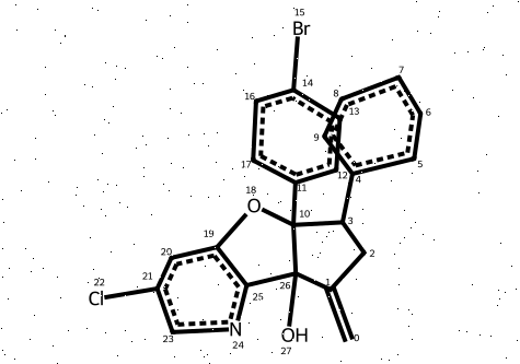 C=C1CC(c2ccccc2)C2(c3ccc(Br)cc3)Oc3cc(Cl)cnc3C12O